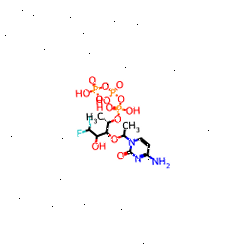 CC(OC(C(O)C(F)F)[C@H](C)OP(=O)(O)OP(=O)(O)OP(=O)(O)O)n1ccc(N)nc1=O